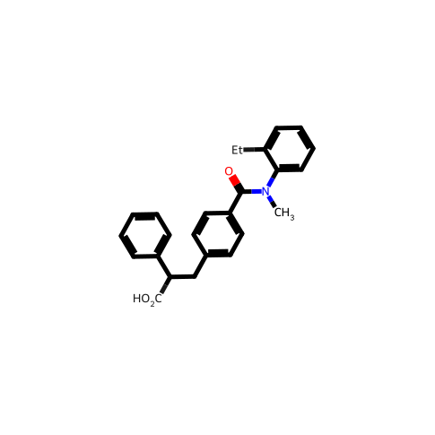 CCc1ccccc1N(C)C(=O)c1ccc(CC(C(=O)O)c2ccccc2)cc1